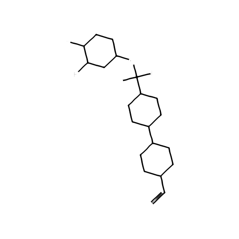 C=CC1CCC(C2CCC(C(F)(F)OC3CCC(F)C(F)C3)CC2)CC1